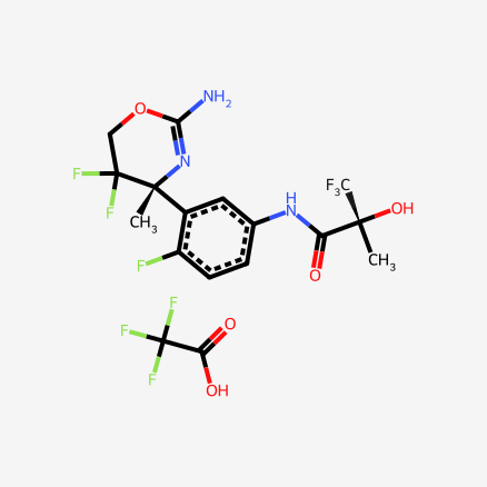 C[C@@](O)(C(=O)Nc1ccc(F)c([C@@]2(C)N=C(N)OCC2(F)F)c1)C(F)(F)F.O=C(O)C(F)(F)F